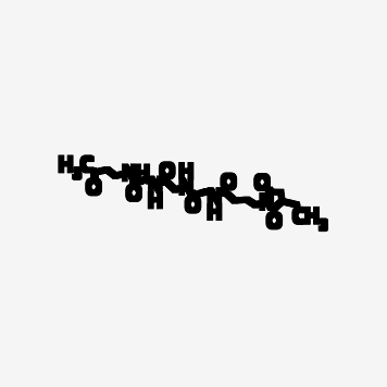 CCC1CC(=O)N(CCCC(=O)NCC(=O)NCC(=O)NCC(=O)NCCC(C)=O)C1=O